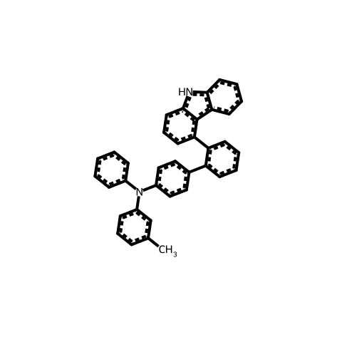 Cc1cccc(N(c2ccccc2)c2ccc(-c3ccccc3-c3cccc4[nH]c5ccccc5c34)cc2)c1